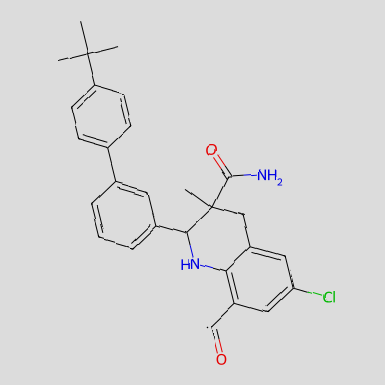 CC(C)(C)c1ccc(-c2cccc(C3Nc4c([C]=O)cc(Cl)cc4CC3(C)C(N)=O)c2)cc1